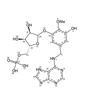 COc1c(O)cc(CNc2ncnc3nc[nH]c23)cc1OC1O[C@H](COP(=O)(O)O)[C@@H](O)[C@H]1O